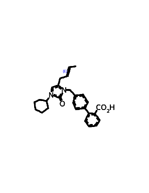 C/C=C/Cc1cn(C2CCCCC2)c(=O)n1Cc1ccc(-c2ccccc2C(=O)O)cc1